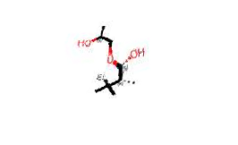 CCC(C)(C)[C@@H](C)[C@@H](O)OC[C@H](C)O